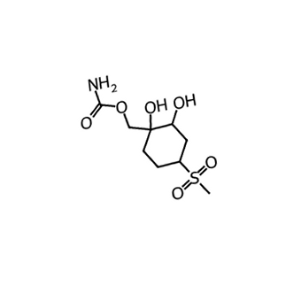 CS(=O)(=O)C1CCC(O)(COC(N)=O)C(O)C1